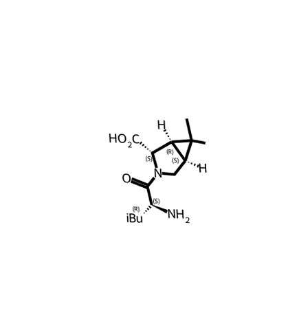 CC[C@@H](C)[C@H](N)C(=O)N1C[C@H]2[C@@H]([C@H]1C(=O)O)C2(C)C